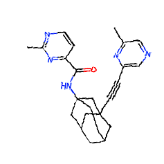 Cc1cncc(C#CC23CC4CC(C2)CC(NC(=O)c2ccnc(C)n2)(C4)C3)n1